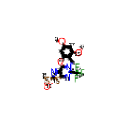 COc1ccc(Cn2c(C(F)(F)F)nc3sc([S+](C)[O-])nc3c2=O)c(OC)c1